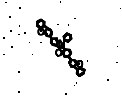 c1ccc(-n2c3cc(-c4ccc5c(c4)oc4ccccc45)ccc3c3oc4cc(-c5ccc6c(c5)oc5ccccc56)ccc4c32)cc1